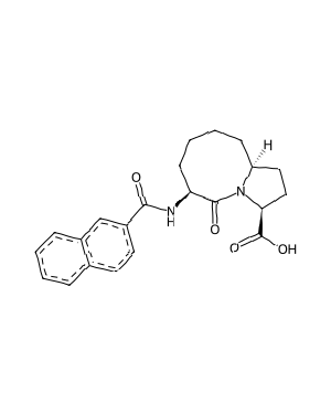 O=C(N[C@H]1CCCC[C@H]2CC[C@@H](C(=O)O)N2C1=O)c1ccc2ccccc2c1